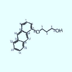 OCCCOc1cccc2cc3ccccc3cc12